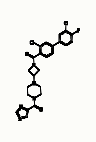 O=C(c1cscn1)N1CCN(C2CN(C(=O)c3ccc(-c4ccc(F)c(Cl)c4)cc3Cl)C2)CC1